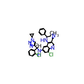 [2H]C(Nc1cc(Cl)c2ncc(C#N)c(NC(CC)c3ccccc3)c2c1)(c1cn(C2CC2)nn1)c1ccccc1Cl